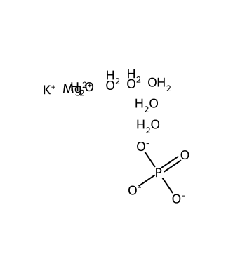 O.O.O.O.O.O.O=P([O-])([O-])[O-].[K+].[Mg+2]